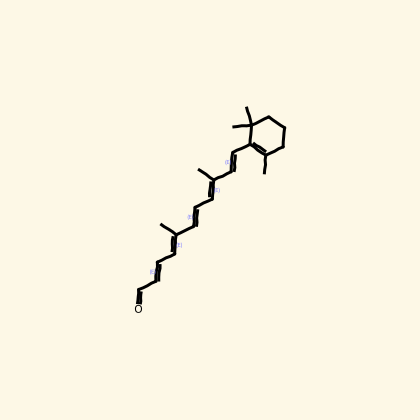 CC1=C(/C=C/C(C)=C/C=C/C(C)=C/C=C/C=O)C(C)(C)CCC1